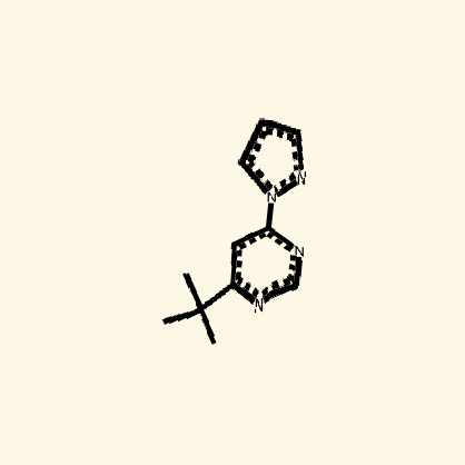 CC(C)(C)c1cc(-n2cccn2)ncn1